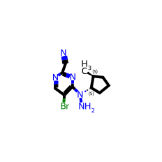 C[C@H]1CCC[C@@H]1N(N)c1nc(C#N)ncc1Br